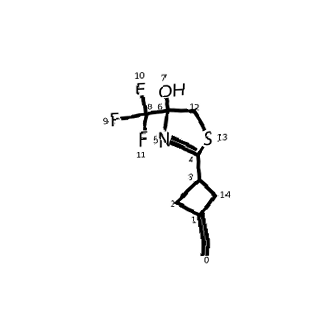 C=C1CC(C2=NC(O)(C(F)(F)F)CS2)C1